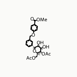 COC(=O)c1ccc(OCc2cccc([C@H]3O[C@H](COC(C)=O)[C@@H](OC(C)=O)[C@H](O)[C@@H]3O)c2)cc1